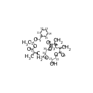 C=C(C)C(=O)OC(C)OCc1ccccc1.C=C(C)C(=O)OCCO.C=CC(=O)OCC1CO1